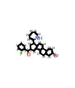 O=C(c1ccccc1F)C1C=c2c(ccc3c2=CCc2cc(Br)ccc2-3)C(C2=CC=CC=CN2)C1